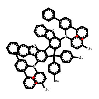 CC(C)(C)c1ccc(N(c2cc(-c3ccccc3)ccc2-c2ccccc2)c2cc3c(c4c2oc2ccccc24)-c2c(cc(N(c4ccc(C(C)(C)C)cc4)c4cc(-c5ccccc5)ccc4-c4ccccc4)c4c2oc2ccccc24)C3(c2ccc(C(C)(C)C)cc2)c2ccc(C(C)(C)C)cc2)cc1